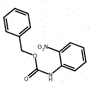 O=C(Nc1ccccc1[N+](=O)[O-])OCc1ccccc1